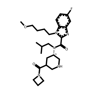 COCCCCn1c(C(=O)N(CC(C)C)[C@@H]2CNCC(C(=O)N3CCC3)C2)nc2cc(F)ccc21